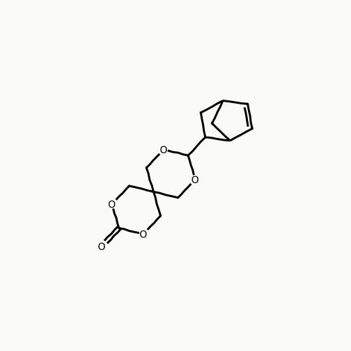 O=C1OCC2(CO1)COC(C1CC3C=CC1C3)OC2